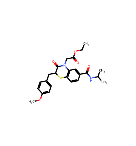 CCOC(=O)CN1C(=O)C(Cc2ccc(OC)cc2)Sc2ccc(C(=O)NC(C)C)cc21